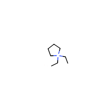 CC[N+]1(CC)CCCC1.[BH4-]